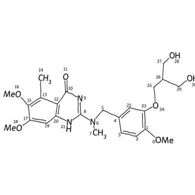 COc1ccc(CN(C)c2nc(=O)c3c(C)c(OC)c(OC)cc3[nH]2)cc1OCC(CO)CO